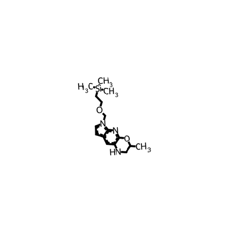 CC1CNc2cc3ccn(COCC[Si](C)(C)C)c3nc2O1